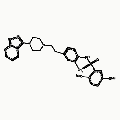 COc1ccc(OC)c(S(=O)(=O)Nc2ccc(CCN3CCN(c4nsc5ccccc45)CC3)cc2C)c1